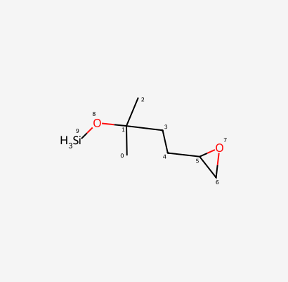 CC(C)(CCC1CO1)O[SiH3]